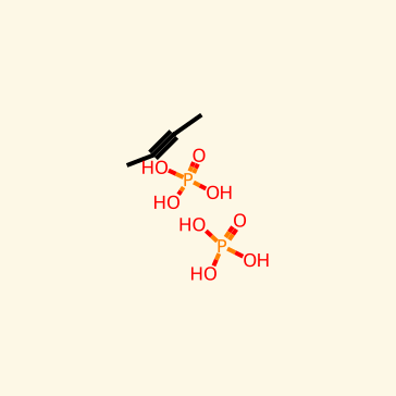 CC#CC.O=P(O)(O)O.O=P(O)(O)O